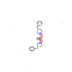 B(ON1CCC(Cc2ccccc2)CC1)ON1CCC(Cc2ccccc2)CC1